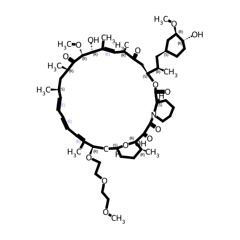 COCCOCCO[C@@H]1C[C@@H]2CC[C@@H](C)[C@@](O)(O2)C(=O)C(=O)N2CCCC[C@H]2C(=O)O[C@H]([C@H](C)C[C@@H]2CC[C@@H](O)[C@H](OC)C2)CC(=O)[C@H](C)/C=C(\C)[C@@H](O)[C@@H](OC)C(=O)[C@H](C)C[C@H](C)/C=C/C=C/C=C/1C